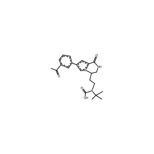 CC(=O)c1cccc(-c2cc3n(c2)C(CCN(C(=O)O)C(C)(C)C)CNC3=O)c1